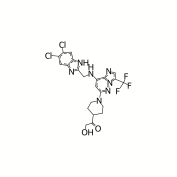 O=C(CO)C1CCN(c2cc(NCc3nc4cc(Cl)c(Cl)cc4[nH]3)c3ncc(C(F)(F)F)n3n2)CC1